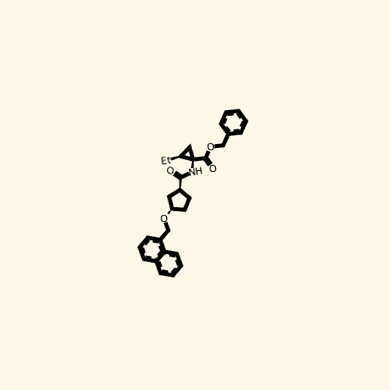 CC[C@H]1C[C@]1(NC(=O)[C@H]1CC[C@H](OCc2cccc3ccccc23)C1)C(=O)OCc1ccccc1